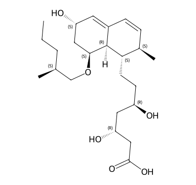 CCC[C@H](C)CO[C@H]1C[C@H](O)C=C2C=C[C@@H](C)[C@H](CC[C@@H](O)C[C@@H](O)CC(=O)O)[C@H]21